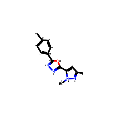 CCn1nc(C)cc1-c1nnc(-c2ccc(C)cc2)o1